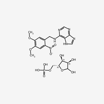 COc1cc(CNc2ncnc3nc[nH]c23)c([N+](=O)[O-])cc1OC.O=P(O)(O)OC[C@H]1OC(O)[C@H](O)[C@@H]1O